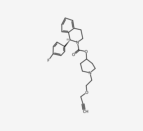 C#CCOCCN1CCC(OC(=O)N2CCc3ccccc3[C@@H]2c2ccc(F)cc2)CC1